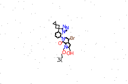 Cn1cnnc1C1(c2cccc(-n3cc(Br)c4cc(CO)n(COCC[Si](C)(C)C)c4c3=O)c2)CC2(CC2)C1